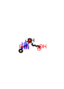 O=C(O)CCC/C=C\C[C@@H]1[C@H](CNC(=O)CNC(=O)c2ccccc2)[C@@H]2CC[C@H]1O2